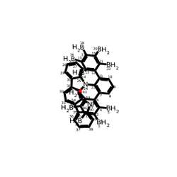 Bc1c(B)c(B)c(-c2cccc(-c3c(B)c(B)c(B)c(B)c3B)c2-n2c3ccccc3c3ccc4c5ccccc5[nH]c4c32)c(B)c1B